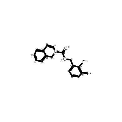 O=C(OCc1cccc(F)c1F)N1C=Cc2ccccc2C1